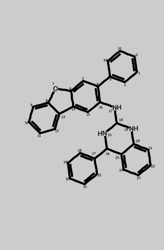 c1ccc(-c2cc3oc4ccccc4c3cc2NC2Nc3ccccc3C(c3ccccc3)N2)cc1